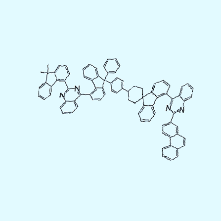 CC1(C)c2ccccc2-c2c(-c3nc(-c4cccc5c4-c4ccccc4C5(c4ccccc4)c4ccc(C5CCC6(CC5)c5ccccc5-c5c(-c7nc(-c8ccc9c(ccc%10ccccc%109)c8)nc8ccccc78)cccc56)cc4)c4ccccc4n3)cccc21